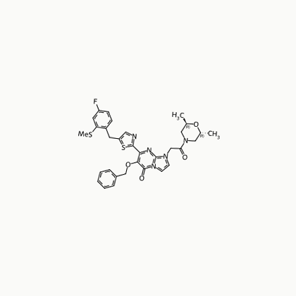 CSc1cc(F)ccc1Cc1cnc(-c2nc3n(CC(=O)N4C[C@@H](C)O[C@H](C)C4)ccn3c(=O)c2OCc2ccccc2)s1